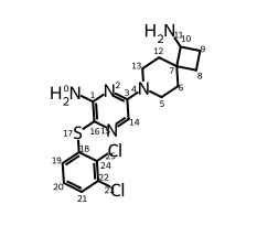 Nc1nc(N2CCC3(CCC3N)CC2)cnc1Sc1cccc(Cl)c1Cl